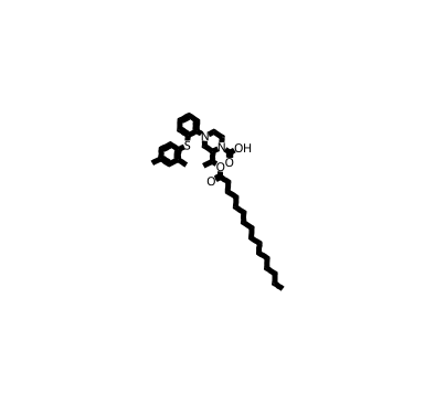 CCCCCCCCCCCCCCCC(=O)OC(C)C1CN(c2ccccc2Sc2ccc(C)cc2C)CCN1C(=O)O